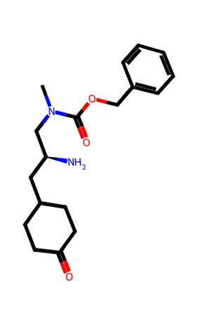 CN(C[C@@H](N)CC1CCC(=O)CC1)C(=O)OCc1ccccc1